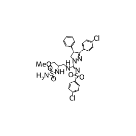 COCC(CN/C(=N\S(=O)(=O)c1ccc(Cl)cc1)N1C[C@@H](c2ccccc2)C(c2ccc(Cl)cc2)=N1)NS(N)(=O)=O